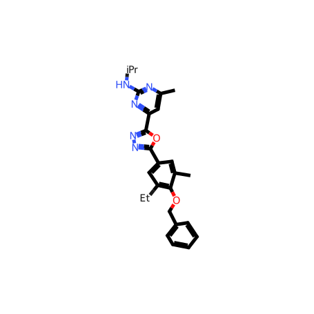 CCc1cc(-c2nnc(-c3cc(C)nc(NC(C)C)n3)o2)cc(C)c1OCc1ccccc1